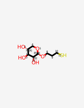 OC1[C@H](O)CO[C@@H](OCCCS)[C@H]1O